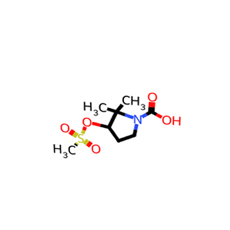 CC1(C)C(OS(C)(=O)=O)CCN1C(=O)O